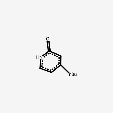 CCCCc1cc[nH]c(=O)c1